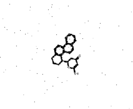 O=C1C=C(O)OC(C2CCCc3ccc4c(ccc5ccccc54)c32)C1